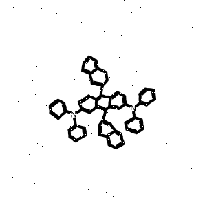 C1=C(c2c3ccc(N(c4ccccc4)c4ccccc4)cc3c(-c3ccc4ccccc4c3)c3cc(N(c4ccccc4)c4ccccc4)ccc23)CCc2ccccc21